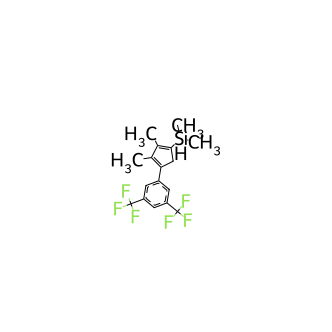 CC1=C(c2cc(C(F)(F)F)cc(C(F)(F)F)c2)CC([SiH](C)C)=C1C